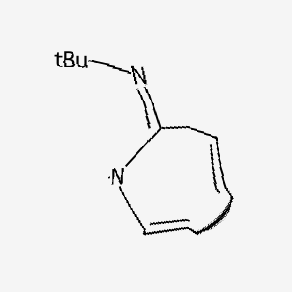 CC(C)(C)/N=C1/C=CC=C[N]1